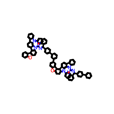 c1ccc(-c2ccc(-c3nc(-n4c5ccccc5c5ccc6c7c8c(ccc7n(-c7ccccc7)c6c54)oc4ccc(-c5cccc(-c6ccc(-c7nc(-n9c%10ccc%11oc%12ccccc%12c%11c%10c%10ccc%11c%12ccccc%12n(-c%12ccccc%12)c%11c%109)nc9ccccc79)cc6)c5)cc48)nc4ccccc34)cc2)cc1